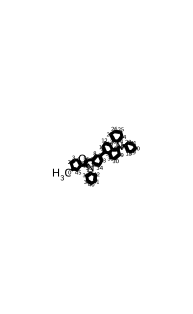 Cc1ccc2oc3c4cc(-c5cccc6c(N(c7ccccc7)c7ccccc7)cccc56)ccc4n(-c4ccccc4)c3c2c1